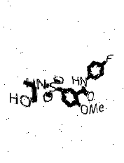 COc1ccc(S(=O)(=O)NC(C)CO)cc1C(=O)Nc1ccc(F)cc1